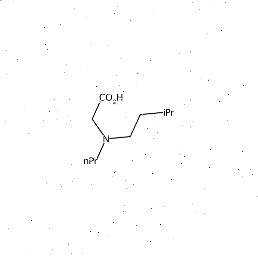 CCCN(CCC(C)C)CC(=O)O